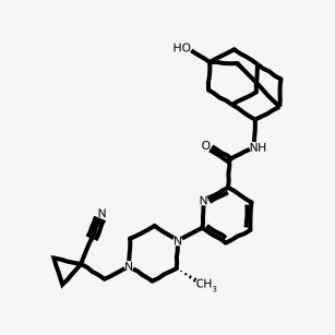 C[C@@H]1CN(CC2(C#N)CC2)CCN1c1cccc(C(=O)NC2C3CC4CC2CC(O)(C4)C3)n1